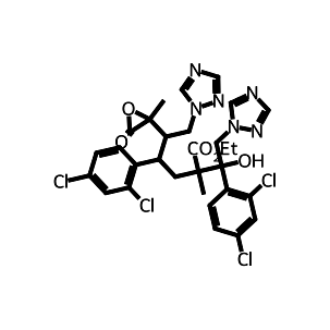 CCOC(=O)C(C)(CC(c1ccc(Cl)cc1Cl)C(Cn1cncn1)C1(C)OC1=O)C(O)(Cn1cncn1)c1ccc(Cl)cc1Cl